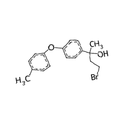 Cc1ccc(Oc2ccc(C(C)(O)CCBr)cc2)cc1